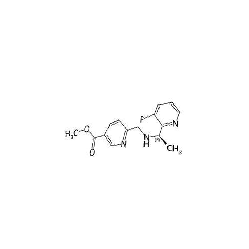 COC(=O)c1ccc(CN[C@H](C)c2ncccc2F)nc1